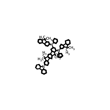 CC1(C)c2ccccc2-c2ccc(N(c3ccccc3)c3cc4c(c(N(c5ccccc5)c5ccc6c(c5)C(C)(C)c5ccccc5-6)c3)C(C)(C)c3cc5c(cc3-4)C(C)(C)c3cc(N4C6=CC=CCC6c6ccccc64)ccc3-5)cc21